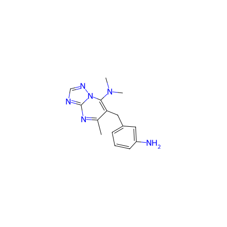 Cc1nc2ncnn2c(N(C)C)c1Cc1cccc(N)c1